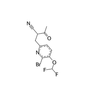 CC(=O)C(C#N)Cc1ccc(OC(F)F)c(Br)n1